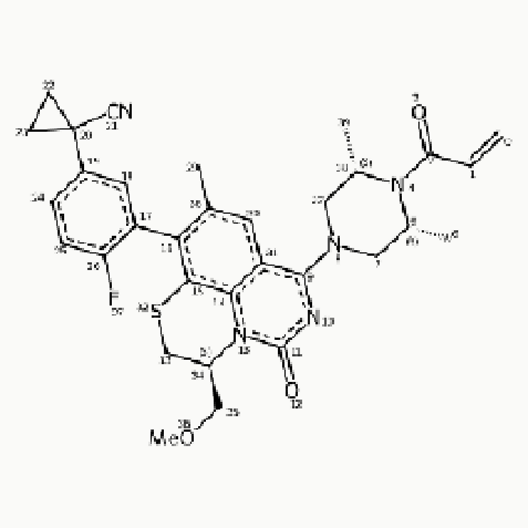 C=CC(=O)N1[C@H](C)CN(c2nc(=O)n3c4c(c(-c5cc(C6(C#N)CC6)ccc5F)c(C)cc24)SC[C@@H]3COC)C[C@@H]1C